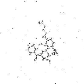 COCCOc1ccc(C#N)c(-c2cc(C(=O)c3ccccc3)cc(F)c2Cl)c1F